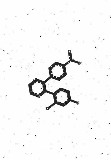 O=[N+]([O-])c1ccc(-c2nccnc2-c2ccc(F)cc2Cl)cc1